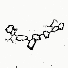 CC(C)n1c(-c2ccc(-c3ccc4c(-c5ccc(-c6nc7ccccc7n6C(C)C)cc5)cccc4c3)cc2)nc2ccccc21